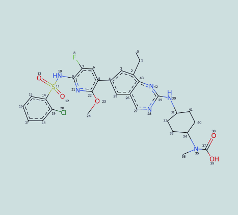 CCc1cc(-c2cc(F)c(NS(=O)(=O)c3ccccc3Cl)nc2OC)cc2cnc(NC3CCC(N(C)C(=O)O)CC3)nc12